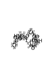 CC(CCCCNC(=O)C(C)(C)CC(C)(C)NC(=O)C(=O)OCc1ccccc1)NC(=O)C(C)(C)CC(C)(C)NC(=O)C(=O)OCc1ccccc1